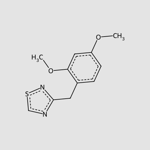 COc1ccc(Cc2ncsn2)c(OC)c1